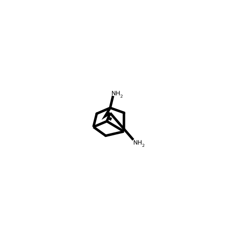 NC1=C2C3CC2CC(N)(C1)C3